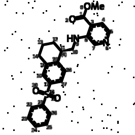 COC(=O)c1ccncc1NC[C@@H]1CCCc2cc(S(=O)(=O)c3ccccc3)ccc21